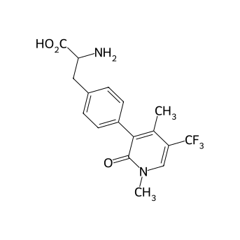 Cc1c(C(F)(F)F)cn(C)c(=O)c1-c1ccc(CC(N)C(=O)O)cc1